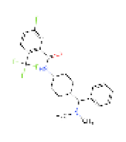 CN(C)C(c1ccccc1)C1CCC(NC(=O)c2cc(F)ccc2C(F)(F)F)CC1